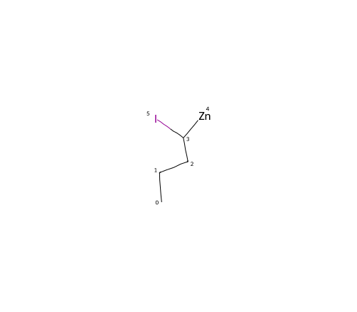 CCC[CH]([Zn])I